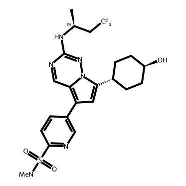 CNS(=O)(=O)c1ccc(-c2cc([C@H]3CC[C@H](O)CC3)n3nc(N[C@@H](C)CC(F)(F)F)ncc23)cn1